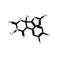 CN1C(=N)NC(C)(c2ccc(C#N)s2)C(c2ccc(Cl)c(Cl)c2)C1=O